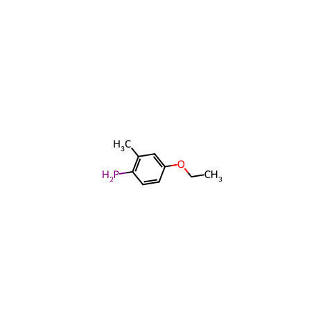 CCOc1ccc(P)c(C)c1